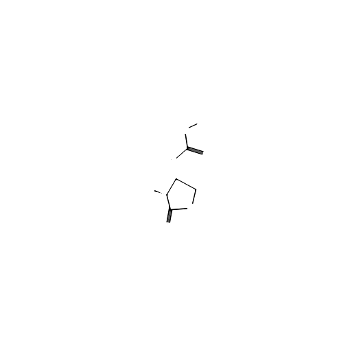 C[C@@H]1C(=O)OC[C@H]1NC(=O)OC(C)(C)C